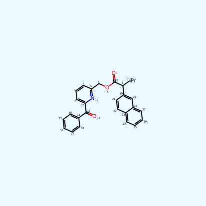 CC(C)C(C(=O)OCc1cccc(C(=O)c2ccccc2)n1)c1ccc2ccccc2c1